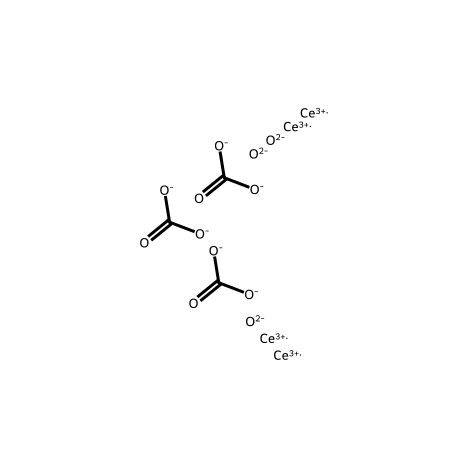 O=C([O-])[O-].O=C([O-])[O-].O=C([O-])[O-].[Ce+3].[Ce+3].[Ce+3].[Ce+3].[O-2].[O-2].[O-2]